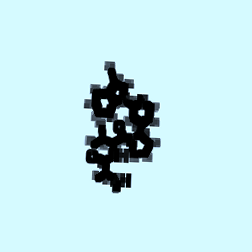 CNC(C)C(=O)NC(C(=O)N1CCCC1c1ccnc(-n2cc(C)c3ccccc32)c1)C(C)C